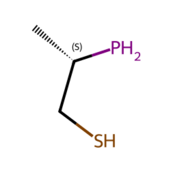 C[C@H](P)CS